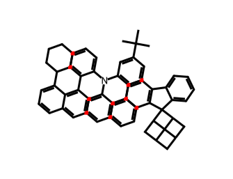 CC(C)(C)c1ccc(-c2ccccc2)c(N(c2ccccc2-c2cccc3cccc(C4CCCCC4)c23)c2ccccc2C2C=CC3=C(C2)C2(c4ccccc43)C3CC4CC5CC2C453)c1